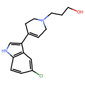 OCCCN1CC=C(c2c[nH]c3ccc(Cl)cc23)CC1